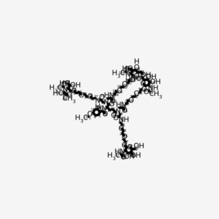 CCOC1CCC(C(=O)NC(CCC(=O)N(CC(=O)NCCOCCOCCOC2OC(CO)C(O)C(O)C2NC(C)=O)CC(=O)NCCOCCOCCOC2OC(CO)C(O)C(O)C2NC(C)=O)C(=O)N(CC(=O)NCCOCCOCCOC(OC(C)CO)C(NC(C)=O)C(O)O)CC(=O)NCCOCCOCCOC2OC(CO)C(O)C(O)C2NC(C)=O)CC1